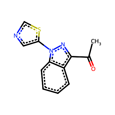 CC(=O)c1nn(-c2cncs2)c2ccccc12